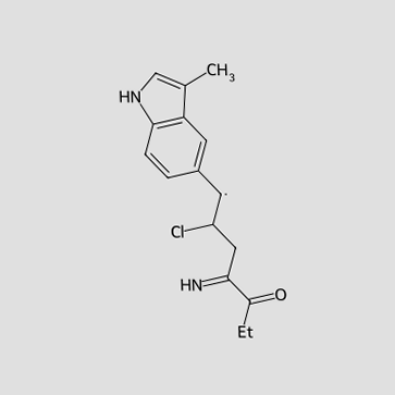 CCC(=O)C(=N)CC(Cl)[CH]c1ccc2[nH]cc(C)c2c1